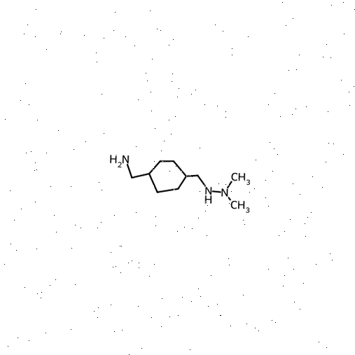 CN(C)NCC1CCC(CN)CC1